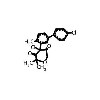 Cc1ccc(-c2ccc(Cl)cc2)cc1C1(Cl)C(=O)COC(C)(C)C1=O